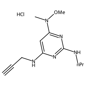 C#CCNc1cc(N(C)OC)nc(NCCC)n1.Cl